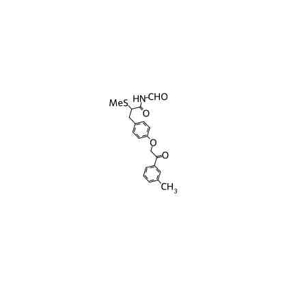 CSC(Cc1ccc(OCC(=O)c2cccc(C)c2)cc1)C(=O)NC=O